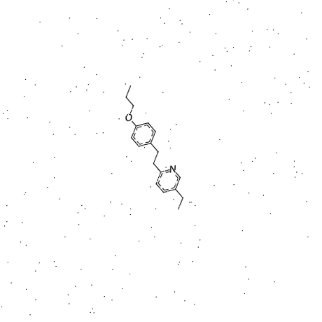 CCCOc1ccc(CCc2ccc(CC)cn2)cc1